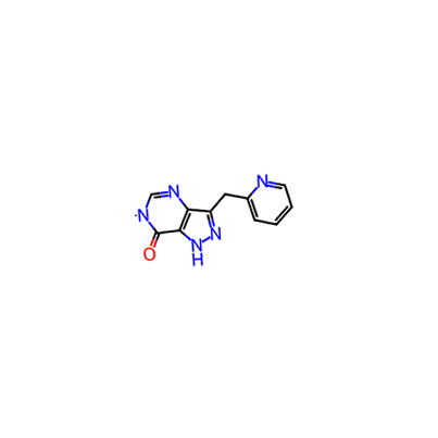 O=C1[N]C=Nc2c(Cc3ccccn3)n[nH]c21